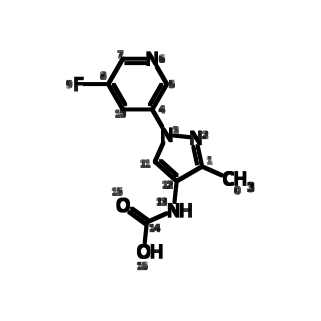 Cc1nn(-c2cncc(F)c2)cc1NC(=O)O